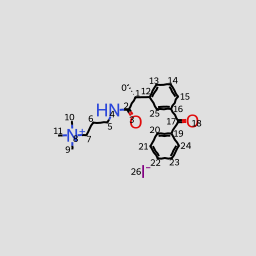 C[C@@H](C(=O)NCCC[N+](C)(C)C)c1cccc(C(=O)c2ccccc2)c1.[I-]